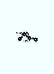 COc1cc(CC2=NCCc3cc(OC)c(OCc4ccccc4)cc32)ccc1OCc1ccccc1